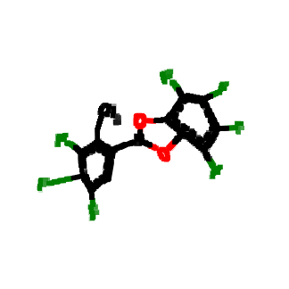 Cc1c(B2Oc3c(F)c(F)c(F)c(F)c3O2)cc(F)c(F)c1F